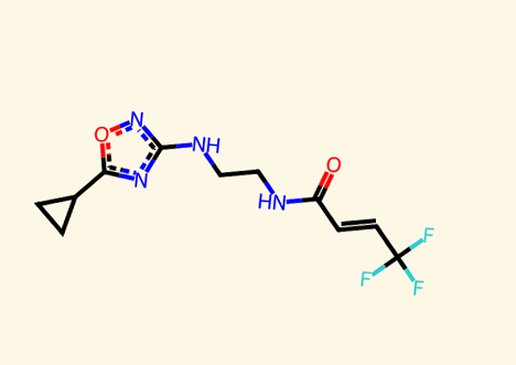 O=C(/C=C/C(F)(F)F)NCCNc1noc(C2CC2)n1